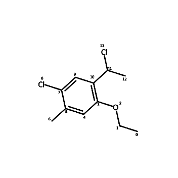 CCOc1cc(C)c(Cl)cc1C(C)Cl